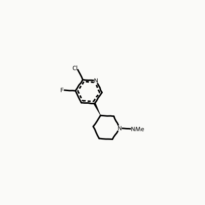 CNN1CCC[C@@H](c2cnc(Cl)c(F)c2)C1